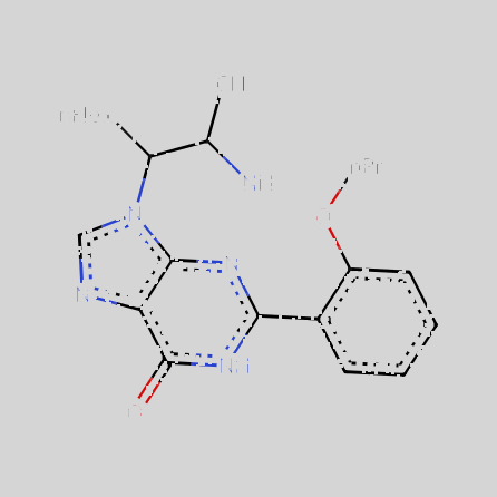 CCCCCCC(C(C)N)n1cnc2c(=O)[nH]c(-c3ccccc3OCCC)nc21